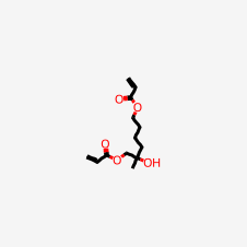 C=CC(=O)OCCCCC(C)(O)COC(=O)C=C